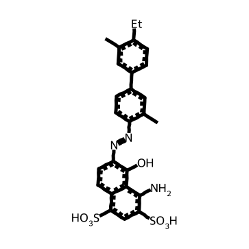 CCc1ccc(-c2ccc(N=Nc3ccc4c(S(=O)(=O)O)cc(S(=O)(=O)O)c(N)c4c3O)c(C)c2)cc1C